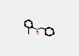 Cc1ccccc1[P](=O)Cc1ccccc1